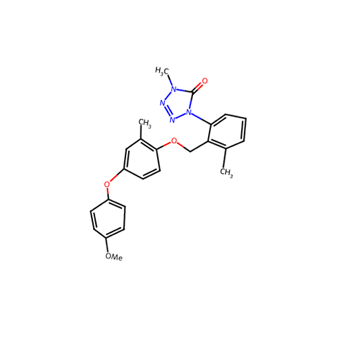 COc1ccc(Oc2ccc(OCc3c(C)cccc3-n3nnn(C)c3=O)c(C)c2)cc1